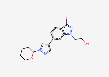 OCCn1nc(I)c2ccc(-c3cnn(C4CCCCO4)c3)cc21